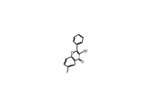 O=c1c(S)c(-c2ccccc2)oc2ccc(F)cc12